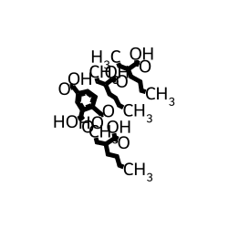 CCCCC(CC)C(=O)O.CCCCC(CC)C(=O)O.CCCCC(CC)C(=O)O.O=C(O)c1ccc(C(=O)O)c(C(=O)O)c1